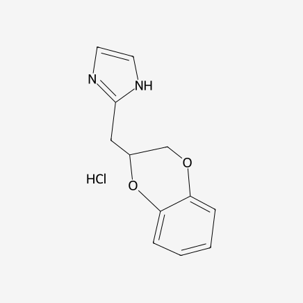 Cl.c1ccc2c(c1)OCC(Cc1ncc[nH]1)O2